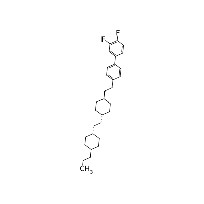 CCC[C@H]1CC[C@H](CC[C@H]2CC[C@H](CCc3ccc(-c4ccc(F)c(F)c4)cc3)CC2)CC1